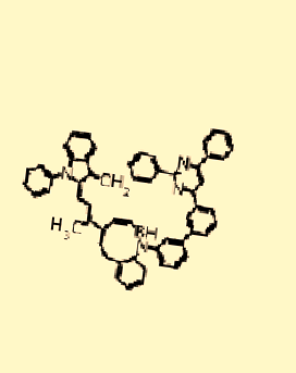 C=c1\c(=C/C=C(C)/C2=C/CC3=CC=CCC3N(c3cccc(-c4cccc(-c5cc(-c6ccccc6)nc(-c6ccccc6)n5)c4)c3)B/C=C\2)n(-c2ccccc2)c2ccccc12